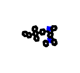 c1ccc(-n2c3ccccc3c3cc4c(cc32)c(-c2ccc(-c3c5ccccc5c(-c5ccc6ccccc6c5)c5ccccc35)cc2)nc2ccccc24)cc1